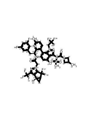 Cc1ccc(-c2ccc(Cl)c3c(N(C(=O)N4CC(C)C4)S(C)(=O)=O)nn(CC(F)(F)F)c23)c([C@H](Cc2cc(F)cc(F)c2)NC(=O)Cn2nc(C(F)(F)F)c3c2C(F)(F)C2C[C@H]32)n1